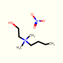 CCCC[N+](C)(C)CCO.O=[N+]([O-])[O-]